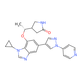 C[C@@H](Oc1cc(-c2cnn(-c3ccncc3)c2)cc2ncn(C3CC3)c12)C1CNC(=O)C1